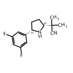 CC(C)(C#N)[C@H]1CC[C@@H](c2cc(F)cc(F)c2)N1